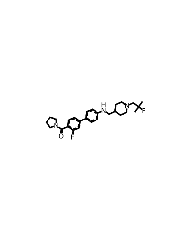 CC(C)(F)CN1CCC(CNc2ccc(-c3ccc(C(=O)N4CCCC4)c(F)c3)cc2)CC1